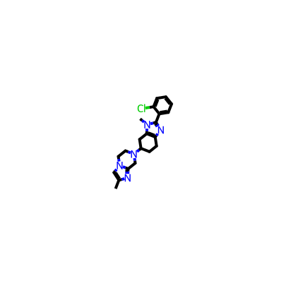 Cc1cn2c(n1)CN(C1CCc3nc(-c4ccccc4Cl)n(C)c3C1)CC2